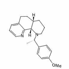 COc1ccc([C@H](C)N2CCC[C@H]3CCc4cccnc4[C@H]32)cc1